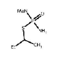 CCC(C)SP(N)(=O)NC